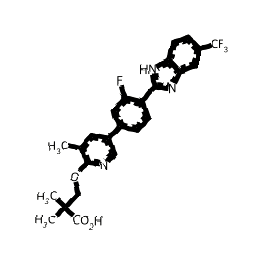 Cc1cc(-c2ccc(-c3nc4cc(C(F)(F)F)ccc4[nH]3)c(F)c2)cnc1OCC(C)(C)C(=O)O